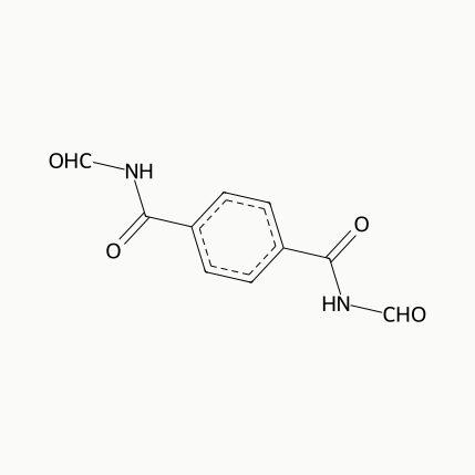 O=CNC(=O)c1ccc(C(=O)NC=O)cc1